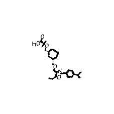 CCc1oc(-c2ccc(C(C)C)cc2)nc1COC[C@@H]1CCC[C@H](COC(C)(C)C(=O)O)C1